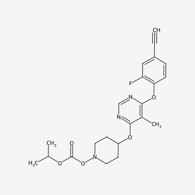 C#Cc1ccc(Oc2ncnc(OC3CCN(OC(=O)OC(C)C)CC3)c2C)c(F)c1